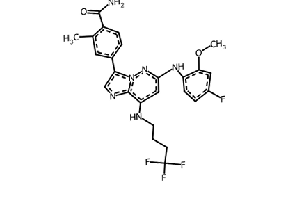 COc1cc(F)ccc1Nc1cc(NCCCC(F)(F)F)c2ncc(-c3ccc(C(N)=O)c(C)c3)n2n1